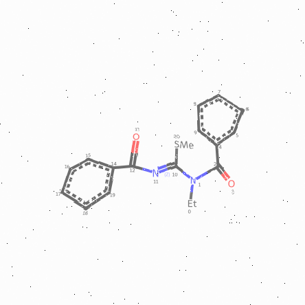 CCN(C(=O)c1ccccc1)/C(=N/C(=O)c1ccccc1)SC